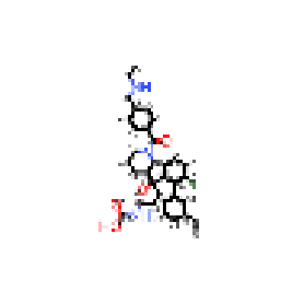 CCNCc1ccc(C(=O)N2CCCC(C(O)(CCCNC(=O)O)c3cccc(Cl)c3-c3cccc(CC)c3)C2)cc1